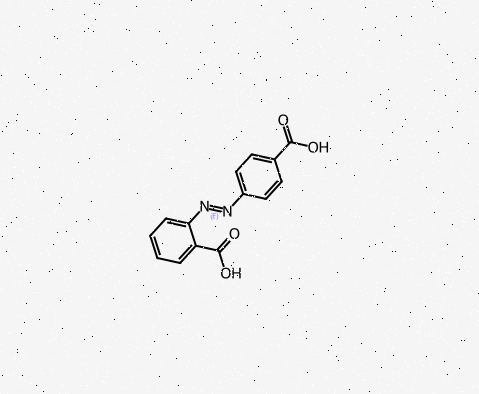 O=C(O)c1ccc(/N=N/c2ccccc2C(=O)O)cc1